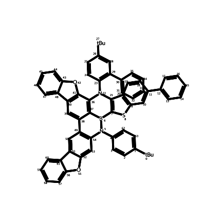 CC(C)(C)c1ccc(N2B3c4sc5cc(-c6ccccc6)ccc5c4N(c4ccc(C(C)(C)C)cc4-c4ccccc4)c4c3c(cc3c4oc4ccccc43)-c3cc4c(cc32)oc2ccccc24)cc1